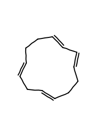 C1=C/CC/C=C/C/C=C/CC/C=C/1